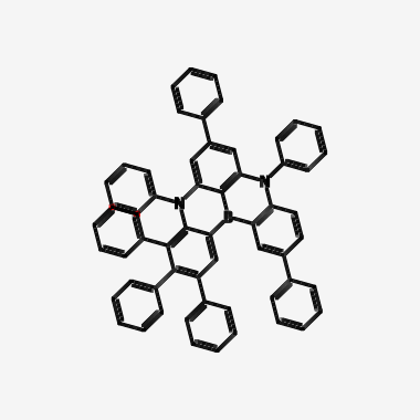 c1ccc(-c2ccc3c(c2)B2c4cc(-c5ccccc5)c(-c5ccccc5)c(-c5ccccc5)c4N(c4ccccc4)c4cc(-c5ccccc5)cc(c42)N3c2ccccc2)cc1